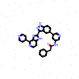 O=C(Cc1ccccc1)Nc1cncc(-c2ccc3[nH]nc(-c4nc5c(-c6ccncc6)nccc5[nH]4)c3c2)c1